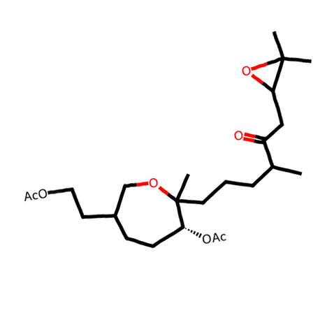 CC(=O)OCCC1CC[C@@H](OC(C)=O)C(C)(CCCC(C)C(=O)CC2OC2(C)C)OC1